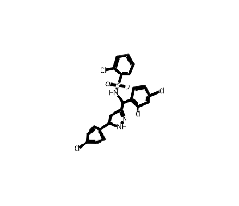 O=S(=O)(NC(C1=NNC(c2ccc(Cl)cc2)C1)c1ccc(Cl)cc1Cl)c1ccccc1Cl